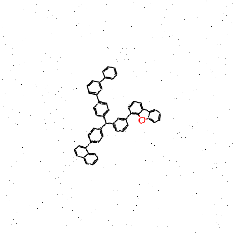 c1ccc(-c2cccc(-c3ccc(C(c4ccc(-c5cccc6ccccc56)cc4)c4cccc(-c5cccc6c5oc5ccccc56)c4)cc3)c2)cc1